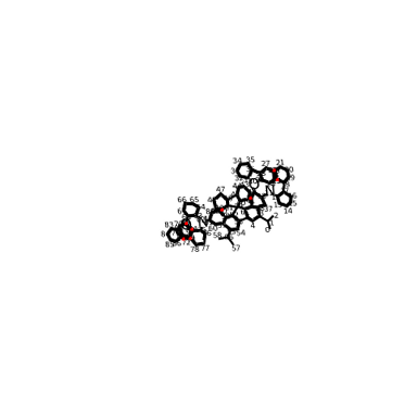 CC(C)c1cc2c(c3ccc(N(c4ccccc4-c4ccccc4)c4cccc5c4oc4ccccc45)cc13)C1(c3ccccc3-c3ccccc31)c1c-2cc(C(C)C)c2cc(N(c3ccccc3-c3ccccc3)c3cccc4c3oc3ccccc34)ccc12